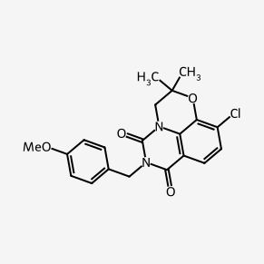 COc1ccc(Cn2c(=O)c3ccc(Cl)c4c3n(c2=O)CC(C)(C)O4)cc1